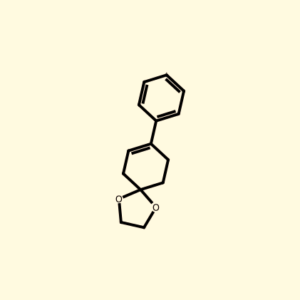 [c]1ccc(C2=CCC3(CC2)OCCO3)cc1